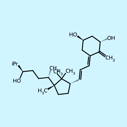 C=C1C(=CC=C[C@@H]2CC[C@](C)([C@@H](C)CC[C@@H](O)C(C)C)C2(C)C)C[C@@H](O)C[C@@H]1O